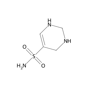 NS(=O)(=O)C1=CNCNC1